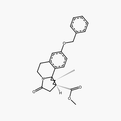 COC(=O)[C@@H]1[C@@H](C)CC23c4ccc(OCc5ccccc5)cc4CCN2C(=O)C[C@@H]13